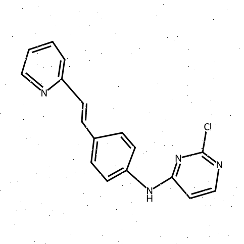 Clc1nccc(Nc2ccc(C=Cc3ccccn3)cc2)n1